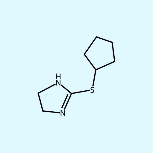 C1CCC(SC2=NCCN2)C1